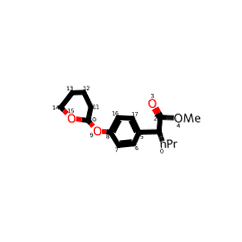 CCCC(C(=O)OC)c1ccc(OC2CCCCO2)cc1